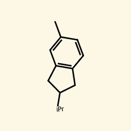 Cc1ccc2c(c1)CC(C(C)C)C2